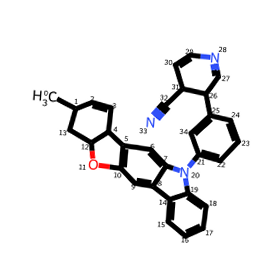 CC1C=CC2c3cc4c(cc3OC2C1)c1ccccc1n4-c1cccc(C2C=NC=CC2C#N)c1